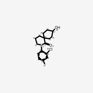 O=C1N(c2ccc(I)cc2Cl)CCCC12CCC(O)CC2